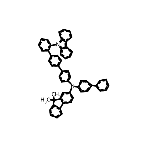 CC1(C)c2ccccc2-c2ccc(N(c3ccc(-c4ccccc4)cc3)c3ccc(-c4ccc(-c5ccccc5-n5c6ccccc6c6ccccc65)cc4)cc3)cc21